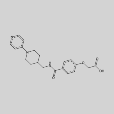 O=C(O)COc1ccc(C(=O)NCC2CCN(c3ccncc3)CC2)cc1